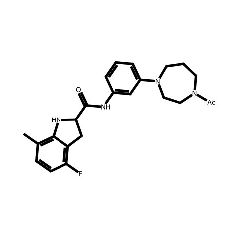 CC(=O)N1CCCN(c2cccc(NC(=O)C3Cc4c(F)ccc(C)c4N3)c2)CC1